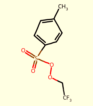 Cc1ccc(S(=O)(=O)OOCC(F)(F)F)cc1